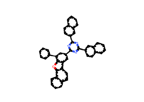 c1ccc(-c2cc(-c3nc(-c4ccc5ccccc5c4)nc(-c4ccc5ccccc5c4)n3)cc3c2oc2c4ccccc4ccc32)cc1